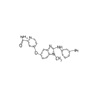 CC(C)c1cccc(Nc2nc3cc(Oc4ccnc(C(N)=O)c4)ccc3n2C)c1